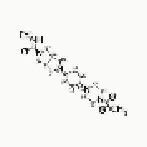 CCNC(=O)N1CC2CN(c3ccc(N4CCN(S(C)(=O)=O)CC4)cc3)CC2C1